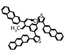 C#C/C=C(\C(=C/C)c1cc(-c2cscc2-c2ccc3cc4ccccc4cc3c2)cc(-c2cscc2-c2ccc3cc4ccccc4cc3c2)c1)c1ccc2cc3ccccc3cc2c1